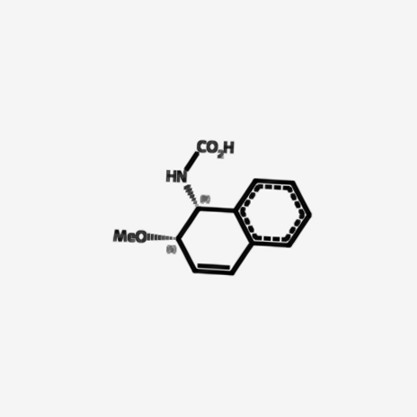 CO[C@H]1C=Cc2ccccc2[C@H]1NC(=O)O